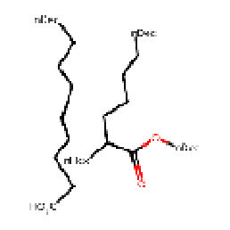 CCCCCCCCCCCCCCC(CCCCCC)C(=O)OCCCCCCCCCC.CCCCCCCCCCCCCCCCCC(=O)O